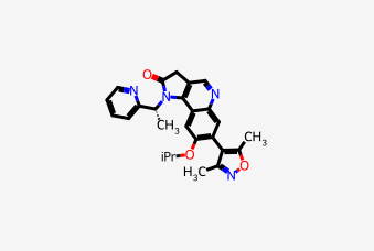 Cc1noc(C)c1-c1cc2ncc3c(c2cc1OC(C)C)N([C@H](C)c1ccccn1)C(=O)C3